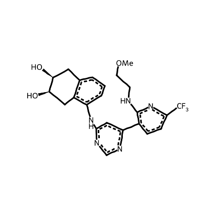 COCCNc1nc(C(F)(F)F)ccc1-c1cc(Nc2cccc3c2C[C@@H](O)[C@@H](O)C3)ncn1